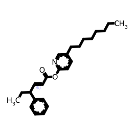 CCCCCCCCc1ccc(OC(=O)/C=C/C(CC)c2ccccc2)nc1